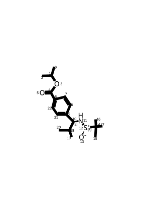 CC(C)OC(=O)c1ccc([C@@H](N[S@@+]([O-])C(C)(C)C)C(C)C)cc1